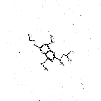 CCCNc1nc(NC)c2nc(N(C)CC(C)O)nc(NC)c2n1